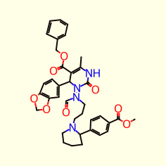 COC(=O)c1ccc(C2CCCCN2CCCN(C=O)N2C(=O)NC(C)=C(C(=O)OCc3ccccc3)C2c2ccc3c(c2)OCO3)cc1